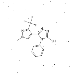 Cn1cc(-c2nnc(S)n2-c2ccccc2)c(C(F)(F)F)n1